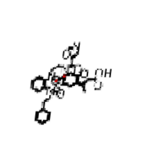 Cc1c(C(=O)O)oc2ccc(S(=O)(=O)N(CCc3ccccc3)c3ccccc3N3CCN(C(=O)c4cnco4)CC3)cc12